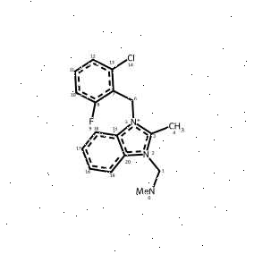 CNCn1c(C)[n+](Cc2c(F)cccc2Cl)c2ccccc21